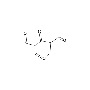 O=CC1=CC=CC(C=O)C1=O